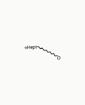 CCCCCCCCC=CCCCCCCCC[O]